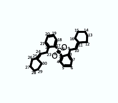 O=S(=O)(c1ccccc1CC=C1CCCCC1)c1ccccc1CC=C1CCCCC1